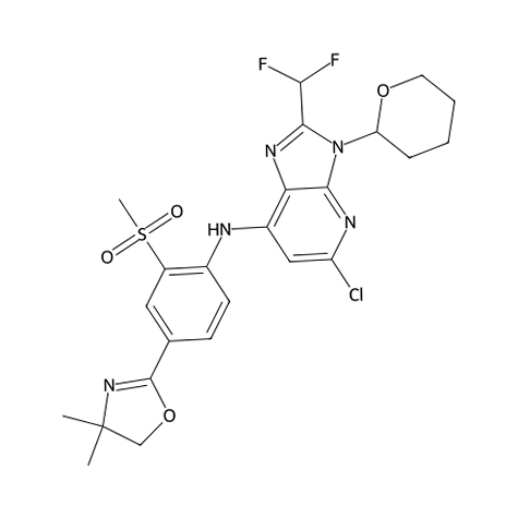 CC1(C)COC(c2ccc(Nc3cc(Cl)nc4c3nc(C(F)F)n4C3CCCCO3)c(S(C)(=O)=O)c2)=N1